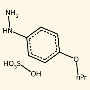 CCCOc1ccc(NN)cc1.O=S(=O)(O)O